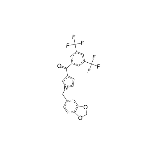 O=C(c1cc(C(F)(F)F)cc(C(F)(F)F)c1)c1ccn(Cc2ccc3c(c2)OCO3)c1